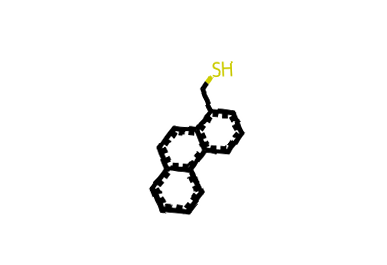 SCc1cccc2c1ccc1ccccc12